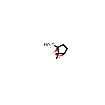 CC1(C)C2CCC1(C(=O)O)OO2